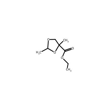 CCOC(=O)C1(C)COC(C)O1